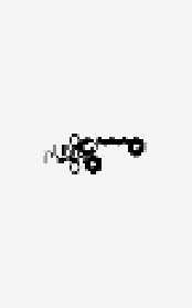 CC(C)C[C@@H]1NC(=O)C2(CCN(CCCCCc3ccccc3)CC2)N(c2ccccc2)C1=O